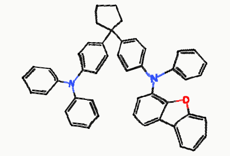 c1ccc(N(c2ccccc2)c2ccc(C3(c4ccc(N(c5ccccc5)c5cccc6c5oc5ccccc56)cc4)CCCC3)cc2)cc1